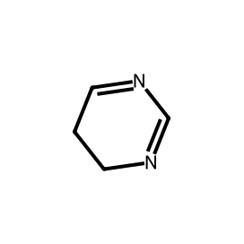 C1=NC=NCC1